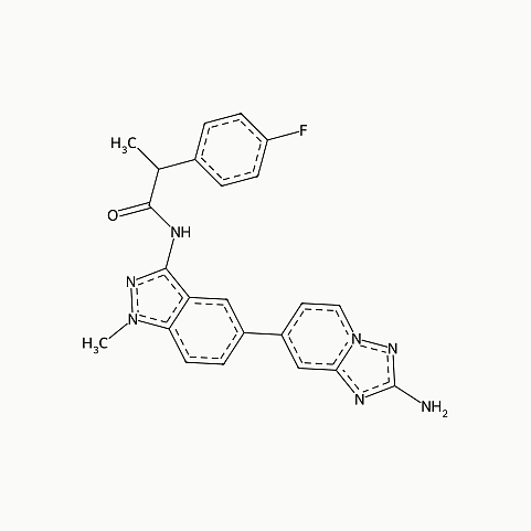 CC(C(=O)Nc1nn(C)c2ccc(-c3ccn4nc(N)nc4c3)cc12)c1ccc(F)cc1